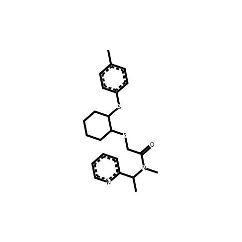 Cc1ccc(SC2CCCCC2SCC(=O)N(C)C(C)c2ccccn2)cc1